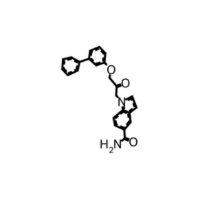 NC(=O)c1ccc2c(ccn2CC(=O)COc2cccc(-c3ccccc3)c2)c1